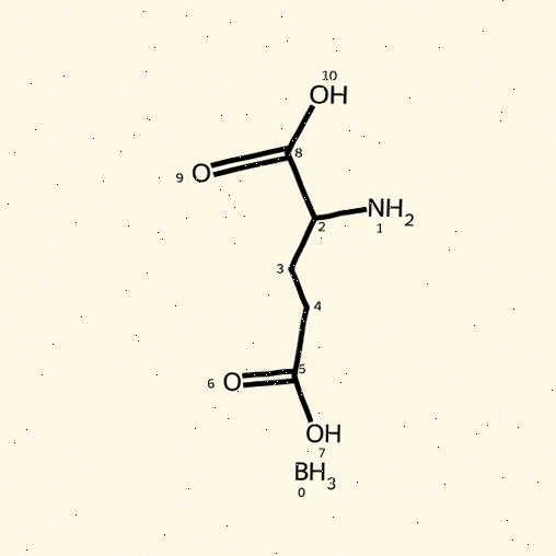 B.NC(CCC(=O)O)C(=O)O